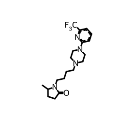 CC1CCC(=O)N1CCCCN1CCN(c2cccc(C(F)(F)F)n2)CC1